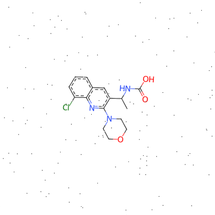 CC(NC(=O)O)c1cc2cccc(Cl)c2nc1N1CCOCC1